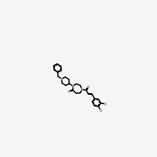 O=C(/C=C/c1ccc(Cl)c(Cl)c1)N1CCC(=O)N(C2CCN(Cc3ccccc3)CC2)CC1